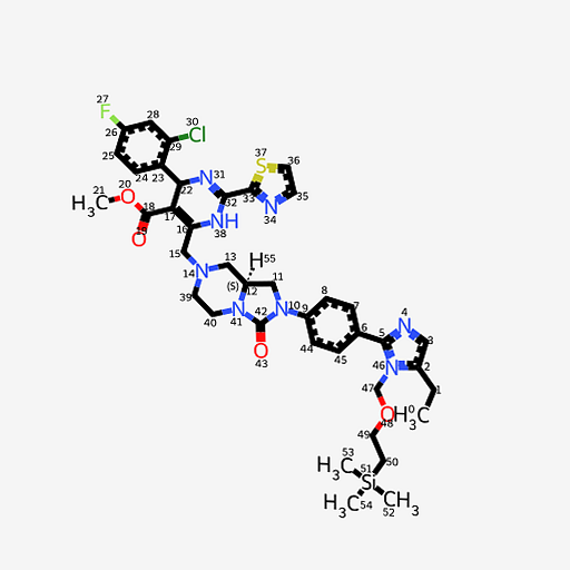 CCc1cnc(-c2ccc(N3C[C@@H]4CN(CC5=C(C(=O)OC)C(c6ccc(F)cc6Cl)N=C(c6nccs6)N5)CCN4C3=O)cc2)n1COCC[Si](C)(C)C